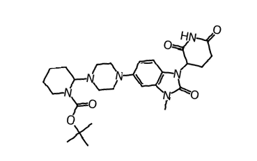 Cn1c(=O)n(C2CCC(=O)NC2=O)c2ccc(N3CCN(C4CCCCN4C(=O)OC(C)(C)C)CC3)cc21